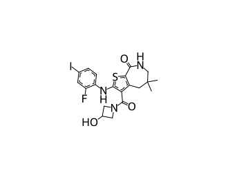 CC1(C)CNC(=O)c2sc(Nc3ccc(I)cc3F)c(C(=O)N3CC(O)C3)c2C1